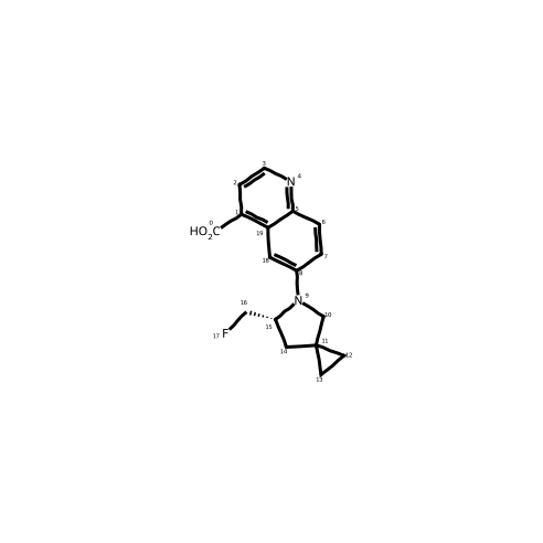 O=C(O)c1ccnc2ccc(N3CC4(CC4)C[C@@H]3CF)cc12